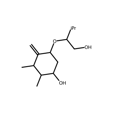 C=C1C(OC(CO)C(C)C)CC(O)C(C)C1C